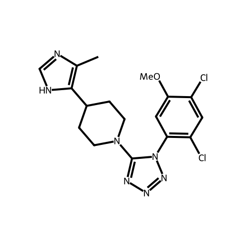 COc1cc(-n2nnnc2N2CCC(c3[nH]cnc3C)CC2)c(Cl)cc1Cl